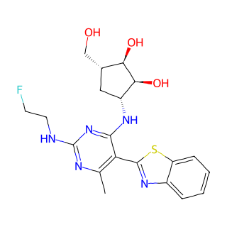 Cc1nc(NCCF)nc(N[C@@H]2C[C@H](CO)[C@@H](O)[C@H]2O)c1-c1nc2ccccc2s1